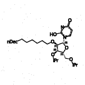 CCCCCCCCCCCCCCCCO[C@@H]1[C@H](OC(C)C)[C@@H](COC(C)C)O[C@H]1n1ccc(=O)nc1O